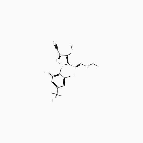 CCN/C=N/c1c(SC)c(C#N)nn1-c1c(Cl)cc(C(F)(F)F)cc1Cl